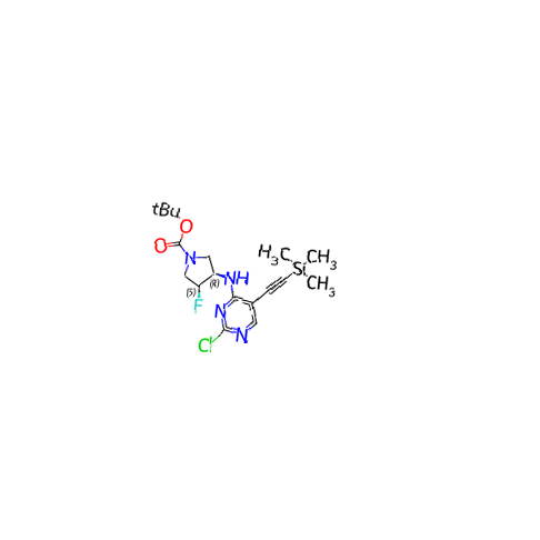 CC(C)(C)OC(=O)N1C[C@H](F)[C@H](Nc2nc(Cl)ncc2C#C[Si](C)(C)C)C1